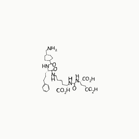 NCC1CCC(C(=O)N[C@@H](CCCc2ccccc2)C(=O)NCCCC[C@H](NC(=O)N[C@@H](CCC(=O)O)C(=O)O)C(=O)O)CC1